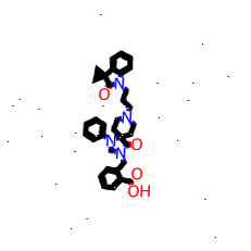 O=C(O)c1ccccc1CN1CN(c2ccccc2)C2(CCN(CCCN3C(=O)C4(CC4)c4ccccc43)CC2)C1=O